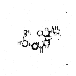 COC[C@H]1CN(c2ccc(Nc3ncc4sc(C(=O)N(C)C)c(C5CCCC5)c4n3)nc2)CCN1